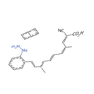 CC(C=Cc1ccccc1NN)=CC=CC=C(C)C=C(C#N)C(=O)O.c1cc2ccc1-2